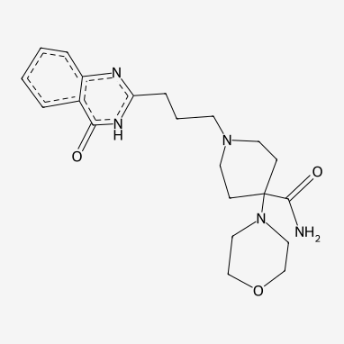 NC(=O)C1(N2CCOCC2)CCN(CCCc2nc3ccccc3c(=O)[nH]2)CC1